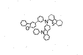 C1=Cc2sc3c(c2CC1)=CCCC=3N(c1cccc(-c2ccc3oc4ccccc4c3c2)c1)c1ccc2c3ccccc3n(-c3ccccc3)c2c1